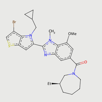 CC[C@@H]1CCCCN(C(=O)c2cc(OC)c3c(c2)nc(-c2cc4scc(Br)c4n2CC2CC2)n3C)C1